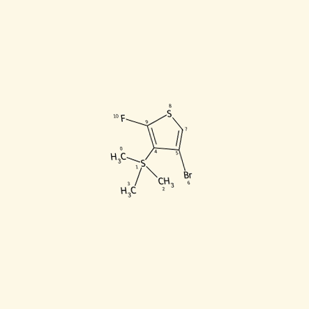 CS(C)(C)c1c(Br)csc1F